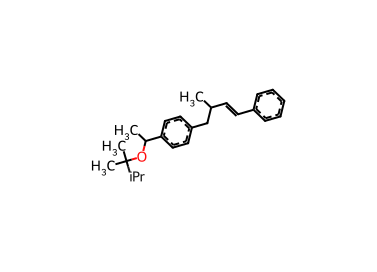 CC(/C=C/c1ccccc1)Cc1ccc(C(C)OC(C)(C)C(C)C)cc1